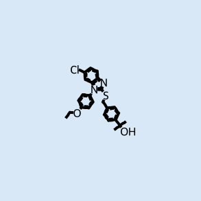 CCOc1ccc(-n2c(SCc3ccc(C(C)(C)O)cc3)nc3ccc(Cl)cc32)cc1